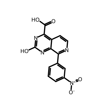 O=C(O)c1nc(O)nc2c(-c3cccc([N+](=O)[O-])c3)nccc12